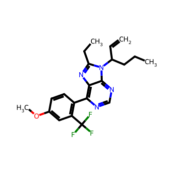 C=CC(CCC)n1c(CC)nc2c(-c3ccc(OC)cc3C(F)(F)F)ncnc21